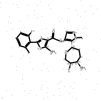 Cc1cccc(F)c1-c1nc(C(=O)Nc2cnn(C)c2[C@@H]2CC[C@@H](N)[C@@H](F)CO2)c(N)s1